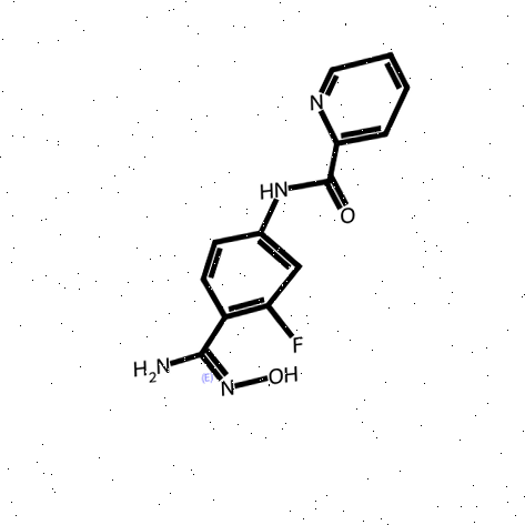 N/C(=N/O)c1ccc(NC(=O)c2ccccn2)cc1F